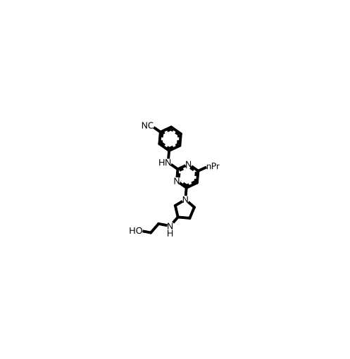 CCCc1cc(N2CCC(NCCO)C2)nc(Nc2cccc(C#N)c2)n1